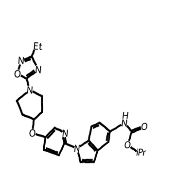 CCc1noc(N2CCC(Oc3ccc(-n4ccc5cc(NC(=O)OC(C)C)ccc54)nc3)CC2)n1